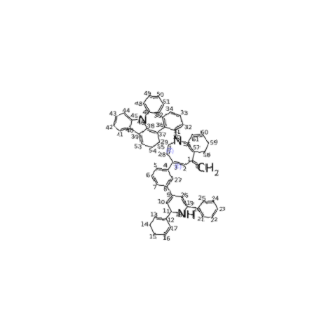 C=C1/C=C(c2cccc(C3=CC(C4=CCCC=C4)NC(c4ccccc4)=C3)c2)\C=C/N(c2ccccc2C2=c3c(c4ccccc4n3-c3ccccc3)=CCC2)C2=C1CCC=C2